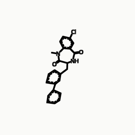 CN1C(=O)C(Cc2cccc(-c3ccccc3)c2)NC(=O)c2cc(Cl)ccc21